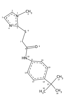 Cn1ccnc1SCC(=O)Nc1ccc(C(C)(C)C)cc1